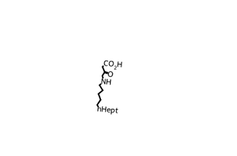 CCCCCCCCCCCCNCC(=O)CC(=O)O